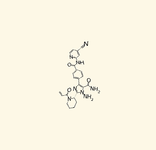 C=CC(=O)N1CCCC[C@H]1c1nc(-c2ccc(C(=O)Nc3cc(C#N)ccn3)cc2)c(C(N)=O)n1N